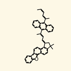 C/C=C\C=C(/C)c1c2ccccc2c(/C(C)=C/C=C2\CC(C)(C)c3ccc4c(ccc5c6ccccc6oc45)c32)c2ccccc12